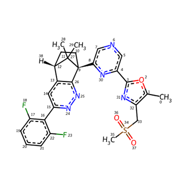 Cc1oc(-c2cncc([C@@]34CC[C@@H](c5cc(-c6c(F)cccc6F)nnc53)C4(C)C)n2)nc1CS(C)(=O)=O